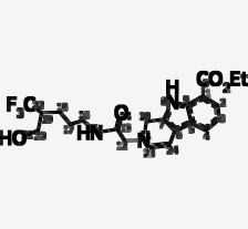 CCOC(=O)c1cccc2c3c([nH]c12)CN(CC(=O)NCCCC(CO)C(F)(F)F)C=C3